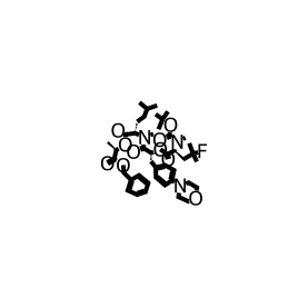 CC(C)CC[C@@H](C(=O)O[C@H](C)C(=O)OCc1ccccc1)N(C)C(=O)[C@@H](Cc1ccc(N2CCOCC2)cc1)OC(=O)[C@H](CC(C)(C)F)N(C)C(=O)OC(C)(C)C